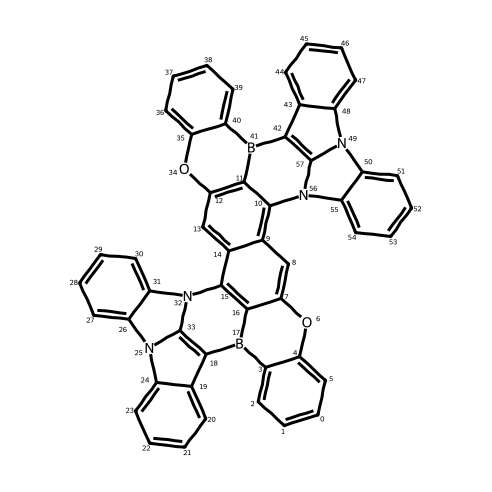 c1ccc2c(c1)Oc1cc3c4c5c(cc3c3c1B2c1c2ccccc2n2c6ccccc6n-3c12)Oc1ccccc1B5c1c2ccccc2n2c3ccccc3n-4c12